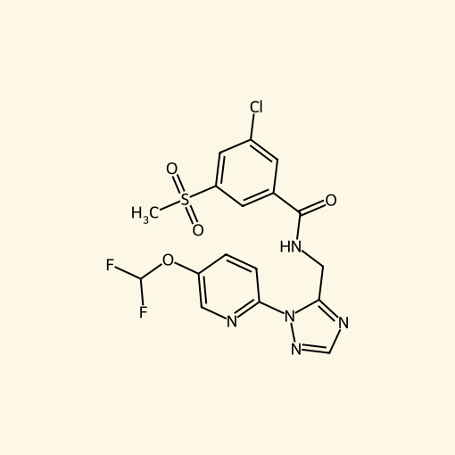 CS(=O)(=O)c1cc(Cl)cc(C(=O)NCc2ncnn2-c2ccc(OC(F)F)cn2)c1